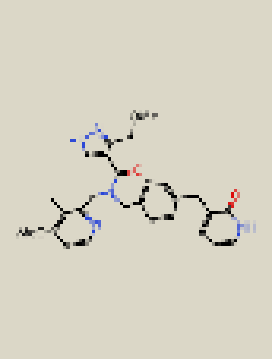 COCc1n[nH]cc1C(=O)N(Cc1ccc(Cc2ccc[nH]c2=O)cc1)Cc1nccc(OC)c1C